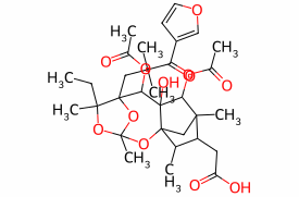 CCC1(C)OC2(C)OC1(CC(C)(C)C(=O)c1ccoc1)C(OC(C)=O)C1(O)C(OC(C)=O)C3(C)CC1(O2)C(C)C3CC(=O)O